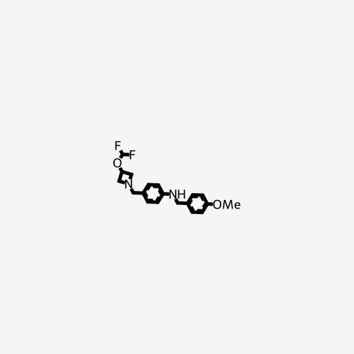 COc1ccc(CNc2ccc(CN3CC(OC(F)F)C3)cc2)cc1